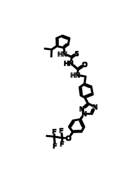 CC(C)c1ccccc1NC(=S)NC(=O)NCc1ccc(-c2ncn(-c3ccc(OC(F)(F)C(C)(F)F)cc3)n2)cc1